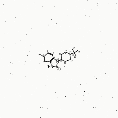 Cc1ccc2c(c1)[nH]c(=O)n2C1CCN(C(C)(C)C)CC1